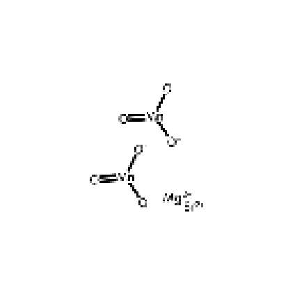 [Mg+2].[O]=[Mn]([O-])[O-].[O]=[Mn]([O-])[O-].[Sr+2]